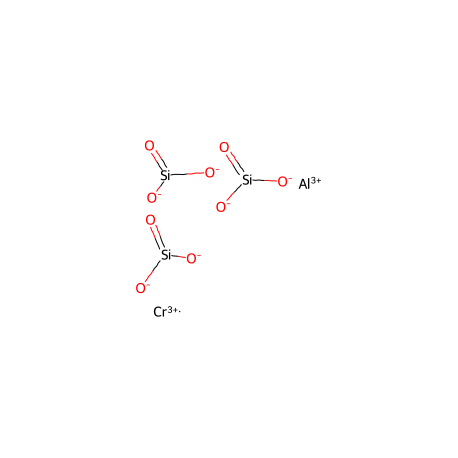 O=[Si]([O-])[O-].O=[Si]([O-])[O-].O=[Si]([O-])[O-].[Al+3].[Cr+3]